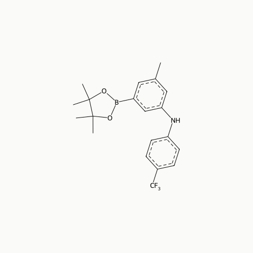 Cc1cc(Nc2ccc(C(F)(F)F)cc2)cc(B2OC(C)(C)C(C)(C)O2)c1